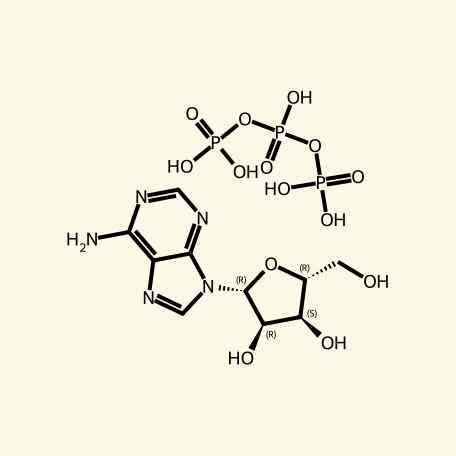 Nc1ncnc2c1ncn2[C@@H]1O[C@H](CO)[C@@H](O)[C@H]1O.O=P(O)(O)OP(=O)(O)OP(=O)(O)O